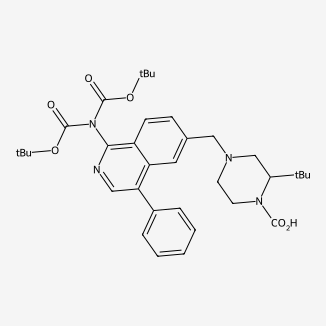 CC(C)(C)OC(=O)N(C(=O)OC(C)(C)C)c1ncc(-c2ccccc2)c2cc(CN3CCN(C(=O)O)C(C(C)(C)C)C3)ccc12